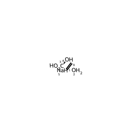 C=C.O.O=C(O)O.[NaH]